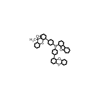 CC1(C)c2ccccc2Sc2c(-c3ccc(N(c4ccc(-c5cccc6c5Oc5ccccc5S6)cc4)c4cccc5c4oc4ccccc45)cc3)cccc21